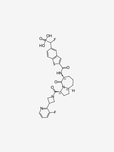 O=C(N[C@H]1CCC[C@H]2CC[C@@H](C(=O)N3CC(c4ncccc4F)C3)N2C1=O)c1cc2cc(C(F)P(=O)(O)O)ccc2s1